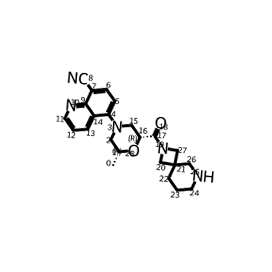 C[C@@H]1CN(c2ccc(C#N)c3ncccc23)C[C@H](C(=O)N2CC3(CCCNC3)C2)O1